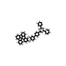 c1ccc(-c2nc(-c3ccc(-c4ccc5c(c4)Oc4c(ccc6c4-c4ccccc4C6(c4ccccc4)c4ccccc4)O5)cc3)nc(-c3ccccn3)n2)cc1